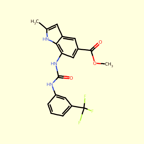 COC(=O)c1cc(NC(=O)Nc2cccc(C(F)(F)F)c2)c2[nH]c(C)cc2c1